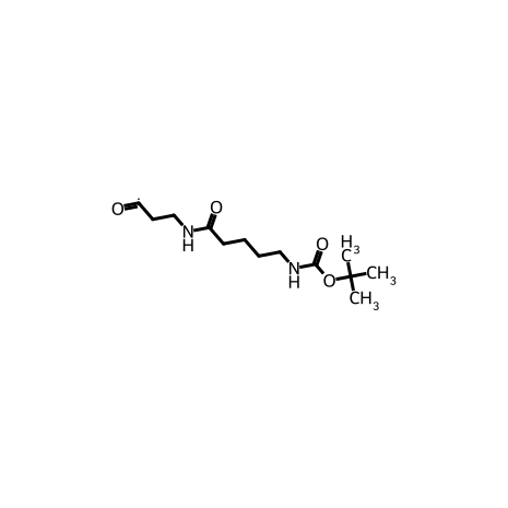 CC(C)(C)OC(=O)NCCCCC(=O)NCC[C]=O